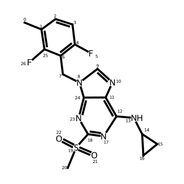 Cc1ccc(F)c(Cn2cnc3c(NC4CC4)nc(S(C)(=O)=O)nc32)c1F